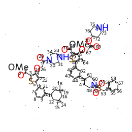 COC(=O)c1sc(-c2cccc(C3CC(C)(C)CC(C)(C)C3)c2)c(C)c1OCC(=O)N1CCNCC1.COC(=O)c1sc(-c2cccc(C3CCN(S(=O)(=O)Cc4ccccc4)CC3)c2)c(C)c1OCC(=O)OC1CCNCC1